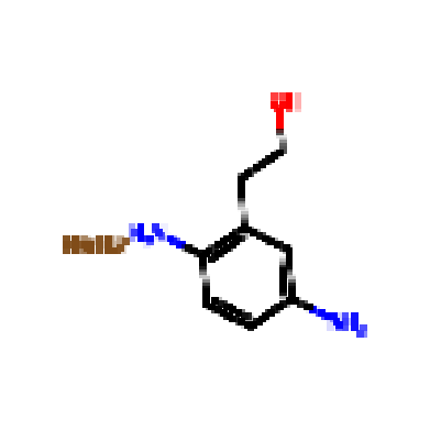 Br.Br.Nc1ccc(N)c(CCO)c1